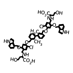 Cc1c(COc2cc(OCc3cccc4[nH]ccc34)c(CNC(CCO)C(=O)O)cc2Cl)cccc1-c1cccc(COc2cc(OCc3cccc4[nH]ccc34)c(CNC(CCO)C(=O)O)cc2Cl)c1C